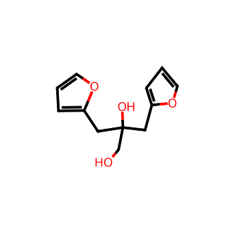 OCC(O)(Cc1ccco1)Cc1ccco1